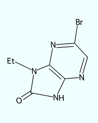 CCn1c(=O)[nH]c2ncc(Br)nc21